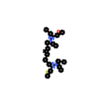 CC1(C)c2cc(-c3cccc(-c4ccc5c(-c6ccc7c(c6)sc6ccccc67)nc(-n6c7cc8ccccc8cc7c7c(-c8ccccc8)cccc76)nc5c4)c3)ccc2-c2ccc(-c3cccc4c3c3cc5ccccc5cc3n4-c3nc(-c4ccc5c(c4)oc4ccccc45)c4ccc(-c5ccccc5)cc4n3)cc21